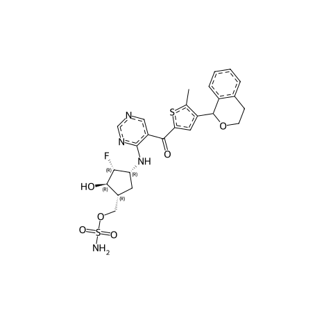 Cc1sc(C(=O)c2cncnc2N[C@@H]2C[C@H](COS(N)(=O)=O)[C@@H](O)[C@@H]2F)cc1C1OCCc2ccccc21